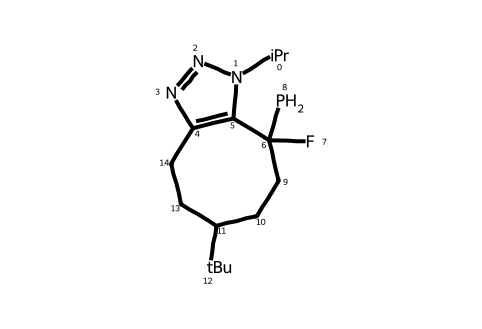 CC(C)n1nnc2c1C(F)(P)CCC(C(C)(C)C)CC2